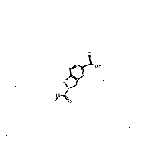 CNC(=O)C1Cc2cc(C(=O)O)ccc2O1